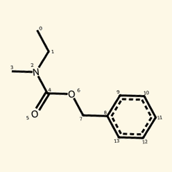 CCN(C)C(=O)OCc1ccccc1